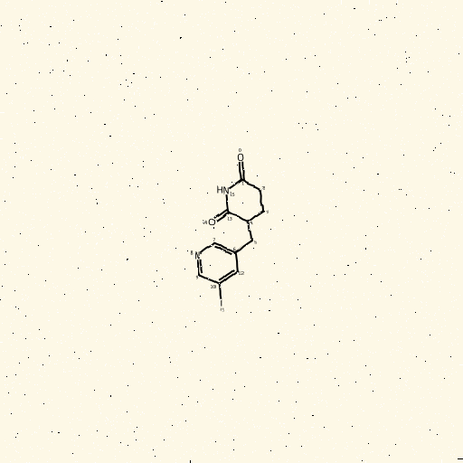 O=C1CCC(Cc2cncc(I)c2)C(=O)N1